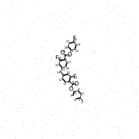 C=C(C)/C=C\C(=C)OC(=O)c1ccc(Cc2ccc(C(=O)Oc3ccc(F)cc3)c(F)c2)cc1F